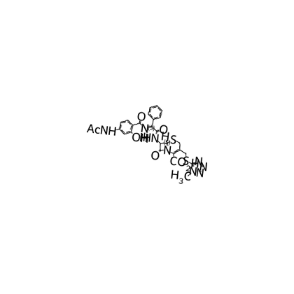 CC(=O)Nc1ccc(C(=O)N[C@H](C(=O)NC2C(=O)N3C(C(=O)O)=C(CSc4nnnn4C)CS[C@@H]23)c2ccccc2)c(O)c1